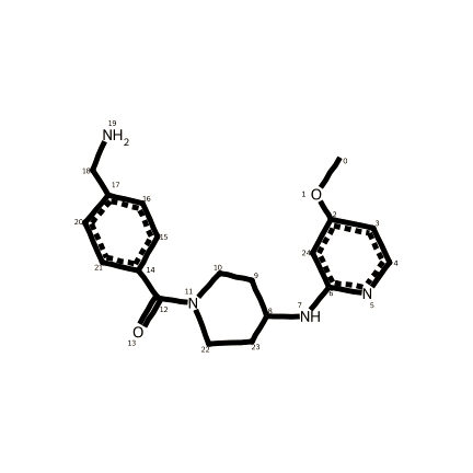 COc1ccnc(NC2CCN(C(=O)c3ccc(CN)cc3)CC2)c1